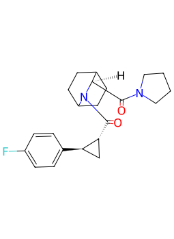 O=C([C@@H]1C2CCC(CC2)N1C(=O)[C@@H]1C[C@H]1c1ccc(F)cc1)N1CCCC1